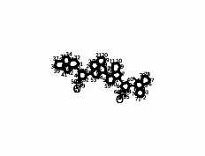 Cc1c(-c2cc(-c3cc4ccccc4c4c(-c5cc6cccc7ccc8c(-c9cc(-c%10ccc%11ccc%12cccc%13ccc%10c%11c%12%13)cc(P(C)(C)=O)c9)ccc5c8c76)cccc34)cc(P(C)(C)=O)c2)c2ccccc2c2ccccc12